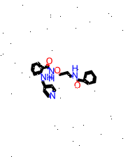 O=C(NCCCONC(=O)c1ccccc1NCc1ccncc1)c1ccccc1